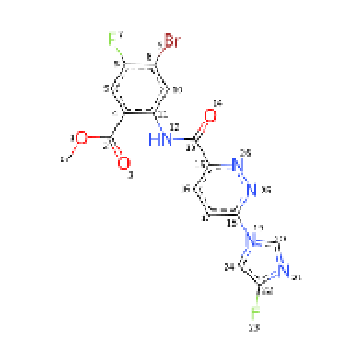 COC(=O)c1cc(F)c(Br)cc1NC(=O)c1ccc(-n2cnc(F)c2)nn1